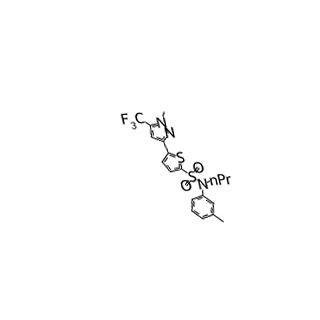 CCCN(c1cccc(C)c1)S(=O)(=O)c1ccc(-c2cc(C(F)(F)F)n(C)n2)s1